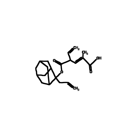 C=CCC1(OC(=O)C(C=C)C=C(C)C(=O)O)C2CC3CC(C2)CC1C3